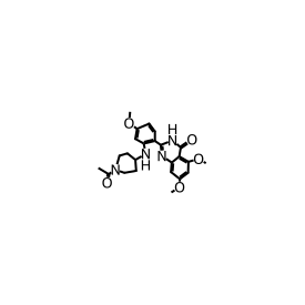 COc1ccc(-c2nc3cc(OC)cc(OC)c3c(=O)[nH]2)c(NC2CCN(C(C)=O)CC2)c1